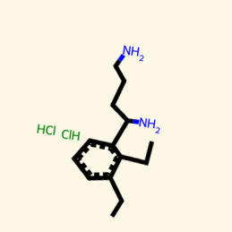 CCc1cccc(C(N)CCCN)c1CC.Cl.Cl